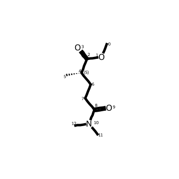 COC(=O)[C@@H](C)CCC(=O)N(C)C